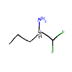 CCC[SiH](N)C(F)F